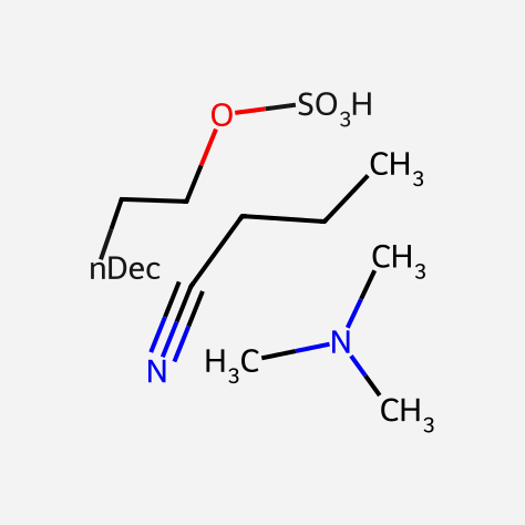 CCCC#N.CCCCCCCCCCCCOS(=O)(=O)O.CN(C)C